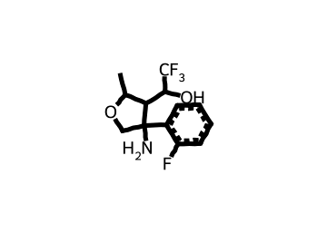 CC1OCC(N)(c2ccccc2F)C1C(O)C(F)(F)F